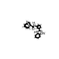 O=C(N[C@H]1CCCC[C@H]1O)c1cccc(NC(=O)c2cnc3ccccn23)c1